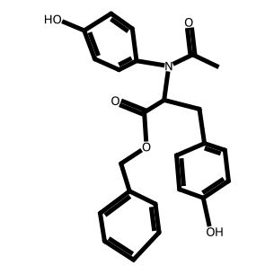 CC(=O)N(c1ccc(O)cc1)C(Cc1ccc(O)cc1)C(=O)OCc1ccccc1